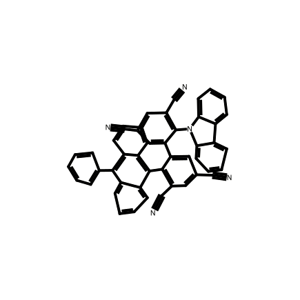 N#Cc1cc(C#N)c(-c2c3ccccc3c(-c3ccccc3)c3ccccc23)c(-c2cc(C#N)cc(C#N)c2-n2c3ccccc3c3ccccc32)c1